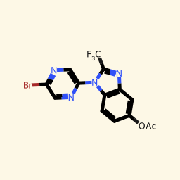 CC(=O)Oc1ccc2c(c1)nc(C(F)(F)F)n2-c1cnc(Br)cn1